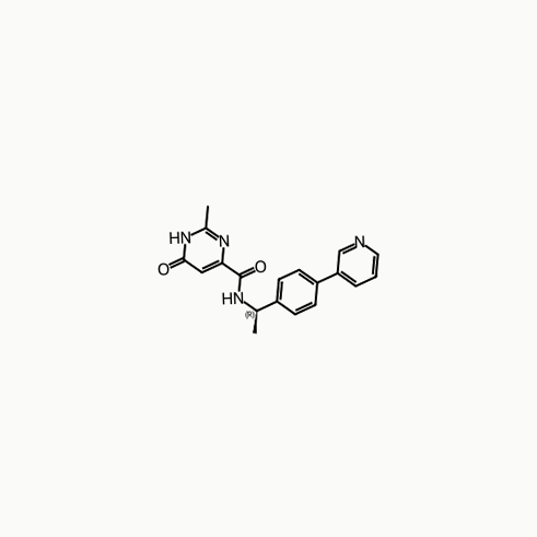 Cc1nc(C(=O)N[C@H](C)c2ccc(-c3cccnc3)cc2)cc(=O)[nH]1